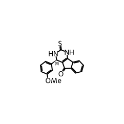 COc1cccc([C@H]2NC(=S)NC3=C2C(=O)c2ccccc23)c1